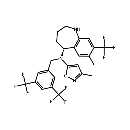 Cc1cc(N(Cc2cc(C(F)(F)F)cc(C(F)(F)F)c2)[C@H]2CCCNc3cc(C(F)(F)F)c(C)cc32)on1